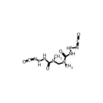 CN(CN(C)C(=O)NPN=C=O)C(=O)NPN=C=O